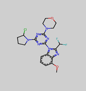 COc1cccc2c1nc(C(F)F)n2-c1nc(N2CCOCC2)nc(N2CCCC2Cl)n1